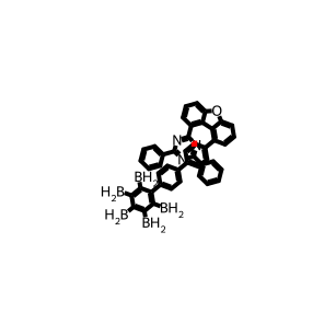 Bc1c(B)c(B)c(-c2ccc(-c3ccc(-c4cccc5oc6cccc(-c7nc(-c8ccccc8)nc(-c8ccccc8)n7)c6c45)cc3)cc2)c(B)c1B